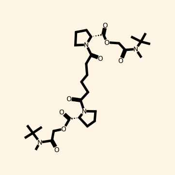 CN(C(=O)COC(=O)[C@H]1CCCN1C(=O)CCCCC(=O)N1CCC[C@@H]1C(=O)OCC(=O)N(C)C(C)(C)C)C(C)(C)C